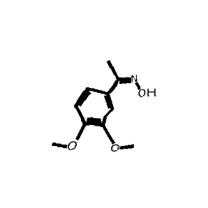 COc1ccc(/C(C)=N\O)cc1OC